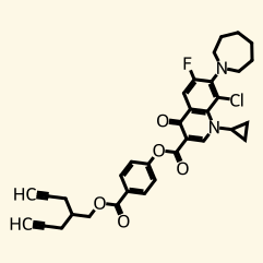 C#CCC(CC#C)COC(=O)c1ccc(OC(=O)c2cn(C3CC3)c3c(Cl)c(N4CCCCCC4)c(F)cc3c2=O)cc1